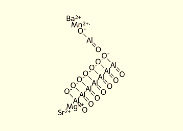 [Ba+2].[Mg+2].[Mn+2].[O]=[Al][O-].[O]=[Al][O-].[O]=[Al][O-].[O]=[Al][O-].[O]=[Al][O-].[O]=[Al][O-].[O]=[Al][O-].[O]=[Al][O-].[Sr+2]